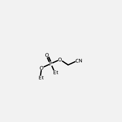 CCOP(=O)(CC)OCC#N